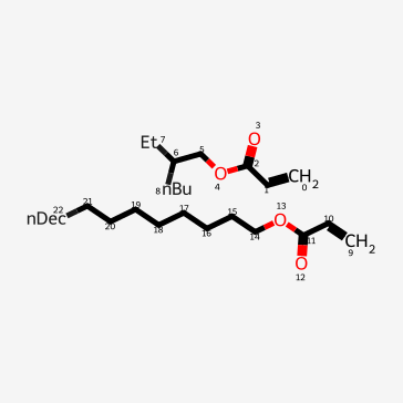 C=CC(=O)OCC(CC)CCCC.C=CC(=O)OCCCCCCCCCCCCCCCCCC